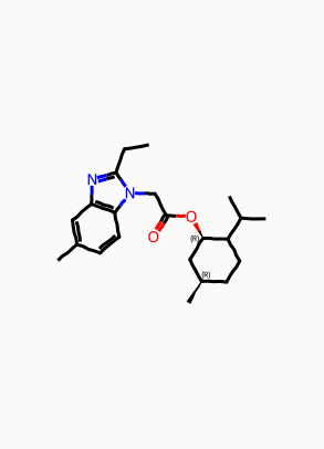 CCc1nc2cc(C)ccc2n1CC(=O)O[C@@H]1C[C@H](C)CCC1C(C)C